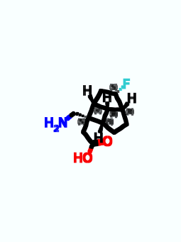 NC[C@]1(CC(=O)O)[C@@H]2C[C@H](F)[C@@H]3CC[C@H]1[C@@H]32